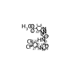 COC(=O)c1ccc2nnn(CC(=O)NCC3CN(Cc4ccc(Cl)c(Cl)c4)CCO3)c2c1